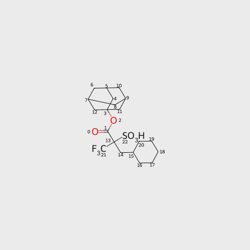 O=C(OC12CC3CC(CC(C3)C1)C2)C(CC1CCCCC1)(C(F)(F)F)S(=O)(=O)O